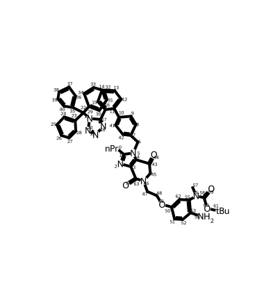 CCCc1nc2c(n1Cc1ccc(-c3ccccc3-c3nnnn3C(c3ccccc3)(c3ccccc3)c3ccccc3)cc1)C(=O)CN(CCOc1ccc(N)c(N(C)C(=O)OC(C)(C)C)c1)C2=O